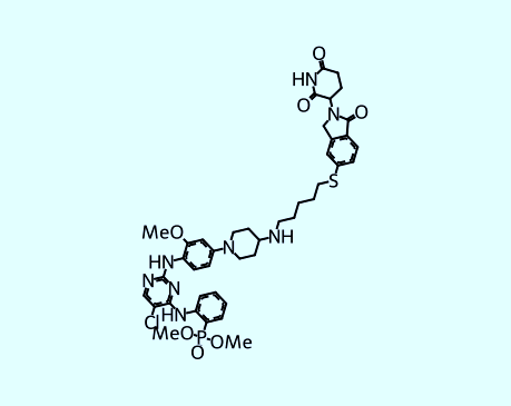 COc1cc(N2CCC(NCCCCCSc3ccc4c(c3)CN(C3CCC(=O)NC3=O)C4=O)CC2)ccc1Nc1ncc(Cl)c(Nc2ccccc2P(=O)(OC)OC)n1